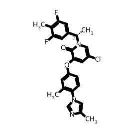 Cc1cn(-c2ccc(Oc3cc(Cl)cn([C@@H](C)c4cc(F)c(C)c(F)c4)c3=O)cc2C)cn1